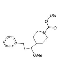 COC(CCc1ccccc1)C1CCN(C(=O)OC(C)(C)C)CC1